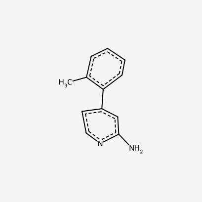 Cc1ccccc1-c1ccnc(N)c1